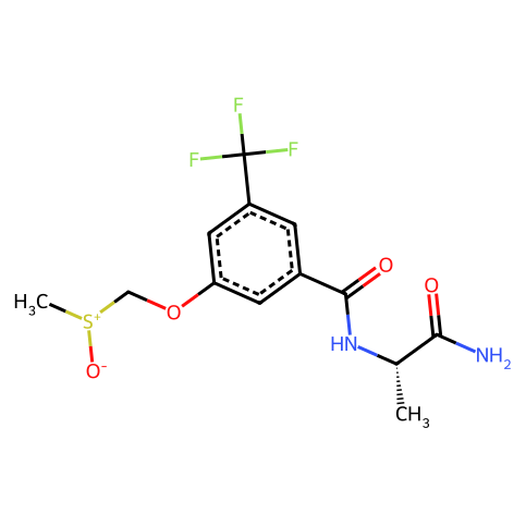 C[C@H](NC(=O)c1cc(OC[S+](C)[O-])cc(C(F)(F)F)c1)C(N)=O